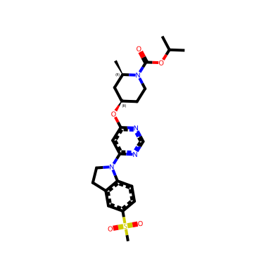 CC(C)OC(=O)N1CC[C@@H](Oc2cc(N3CCc4cc(S(C)(=O)=O)ccc43)ncn2)C[C@H]1C